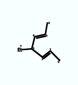 CC=CC(C=CC)CC